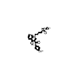 CC(C)c1ccc(NC(=O)c2cn(CCCCCC(=O)NO)c3ccccc3c2=O)cc1